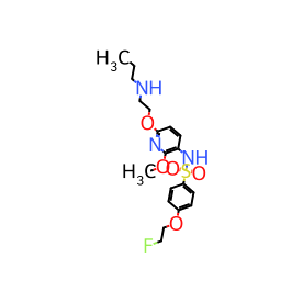 CCCNCCOc1ccc(NS(=O)(=O)c2ccc(OCCF)cc2)c(OC)n1